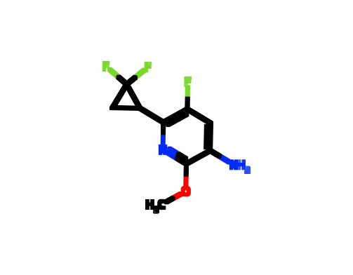 COc1nc(C2CC2(F)F)c(F)cc1N